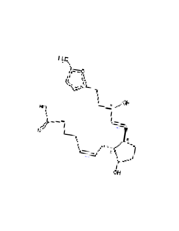 Cc1ccc(CC[C@H](O)/C=C/[C@H]2CCC(O)[C@@H]2C/C=C\CCCC(=O)O)o1